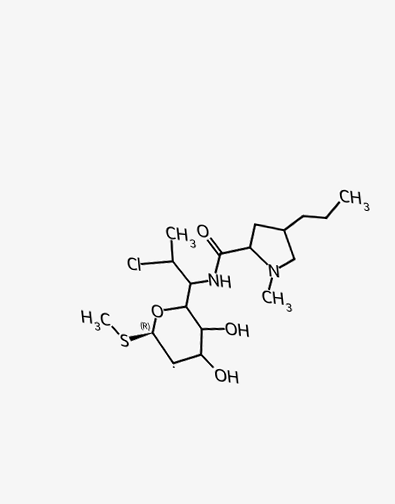 CCCC1CC(C(=O)NC(C(C)Cl)C2O[C@H](SC)[CH]C(O)C2O)N(C)C1